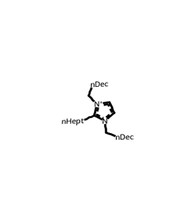 CCCCCCCCCCCn1cc[n+](CCCCCCCCCCC)c1CCCCCCC